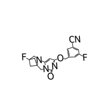 N#Cc1cc(F)cc(COc2cc3n(c(=O)n2)CC24CC(F)(CN32)C4)c1